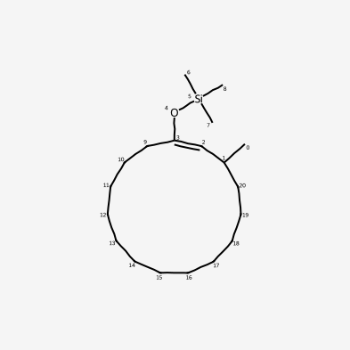 CC1/C=C(/O[Si](C)(C)C)CCCCCCCCCCCC1